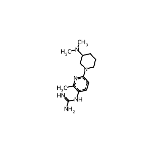 Cc1nc(N2CCCC(N(C)C)C2)ccc1NC(=N)N